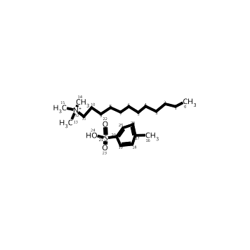 CCCCCCCCCCCC[N+](C)(C)C.Cc1ccc(S(=O)(=O)O)cc1